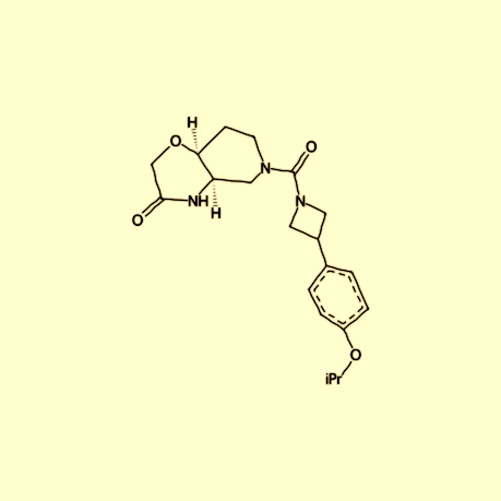 CC(C)Oc1ccc(C2CN(C(=O)N3CC[C@@H]4OCC(=O)N[C@@H]4C3)C2)cc1